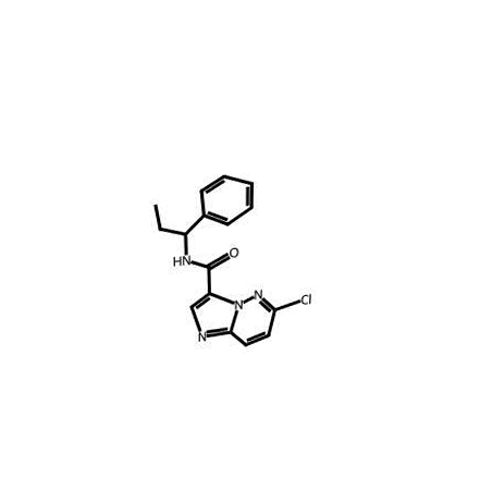 CCC(NC(=O)c1cnc2ccc(Cl)nn12)c1ccccc1